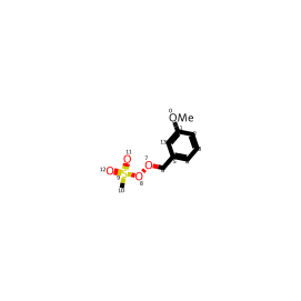 COc1cccc(COOS(C)(=O)=O)c1